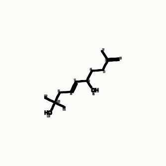 C=C(C)CCC(O)C=CCC(C)(C)O